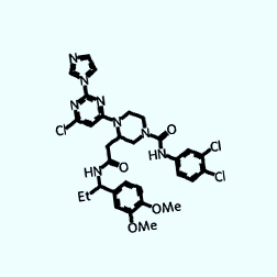 CCC(NC(=O)CC1CN(C(=O)Nc2ccc(Cl)c(Cl)c2)CCN1c1cc(Cl)nc(-n2ccnc2)n1)c1ccc(OC)c(OC)c1